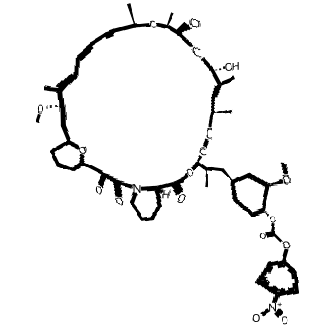 CO[C@H]1CC2CCCC(O2)C(=O)C(=O)N2CCCC[C@H]2C(=O)O[C@H]([C@H](C)C[C@@H]2CC[C@@H](OC(=O)Oc3ccc([N+](=O)[O-])cc3)[C@H](OC)C2)CC[C@H](C)/C=C(\C)[C@@H](O)CC(=O)[C@H](C)C[C@H](C)/C=C/C=C/C=C/1C